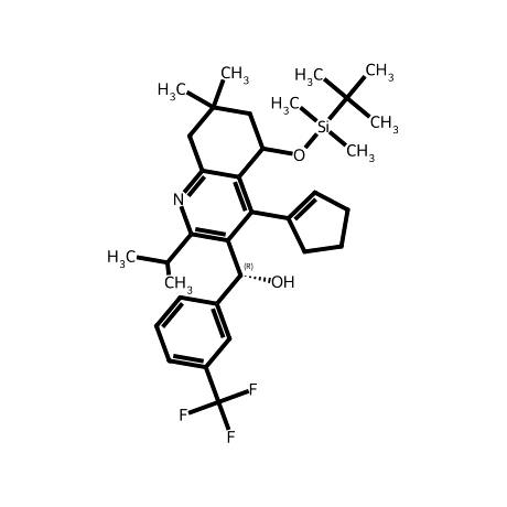 CC(C)c1nc2c(c(C3=CCCC3)c1[C@H](O)c1cccc(C(F)(F)F)c1)C(O[Si](C)(C)C(C)(C)C)CC(C)(C)C2